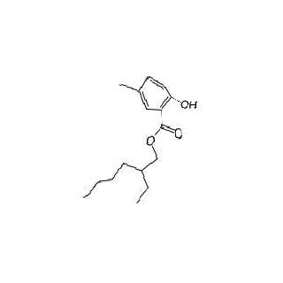 CCCCC(CC)COC(=O)c1cc(C)ccc1O